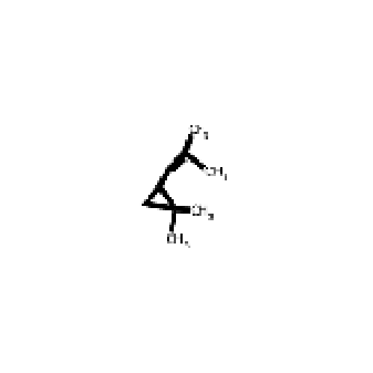 C/C(=C\C1CC1(C)C)C(F)(F)F